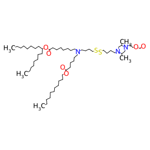 CCCCCCCCCCCOC(=O)CCCCCN(CCCCCCCC(=O)OC(CCCCCCCC)CCCCCCCC)CCCCSSCCCCN1CC(C)N(CCOC=O)CC1C